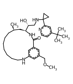 COCc1cc2cc(c1)C(=O)N[C@H]([C@H](O)CNC1(c3cc(C(C)(C)C)ccn3)CC1)C[C@H](C)CCCCCCCN2